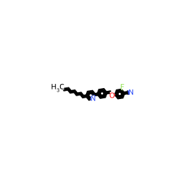 CCCCCCCCc1ccc(-c2ccc(COc3ccc(C#N)c(F)c3)cc2)nc1